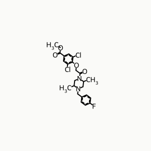 COC(=O)c1cc(Cl)c(OCC(=O)N2CC(C)N(Cc3ccc(F)cc3)CC2C)c(Cl)c1